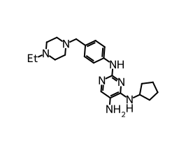 CCN1CCN(Cc2ccc(Nc3ncc(N)c(NC4CCCC4)n3)cc2)CC1